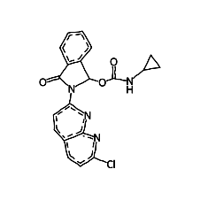 O=C(NC1CC1)OC1c2ccccc2C(=O)N1c1ccc2ccc(Cl)nc2n1